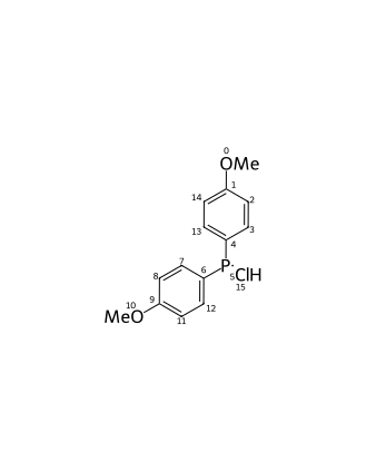 COc1ccc([P]c2ccc(OC)cc2)cc1.Cl